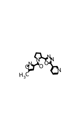 Cc1cc(C(=O)N2CCCC2c2nnc(-c3cccnc3)o2)no1